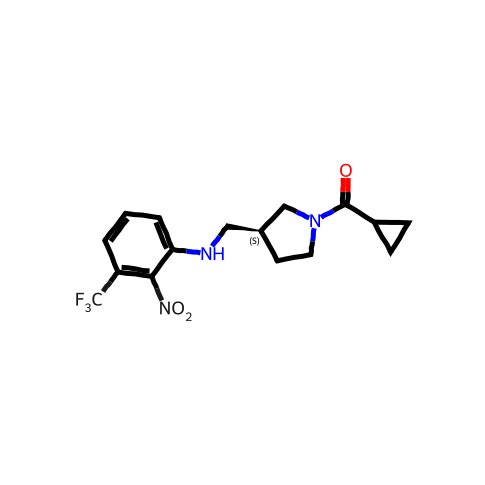 O=C(C1CC1)N1CC[C@@H](CNc2cccc(C(F)(F)F)c2[N+](=O)[O-])C1